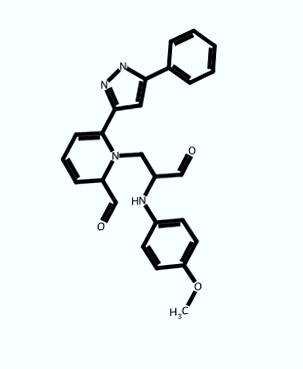 COc1ccc(NC(C=O)CN2C(C3=N[N]C(c4ccccc4)=C3)=CC=CC2C=O)cc1